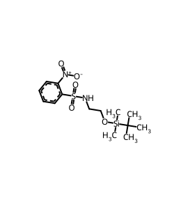 CC(C)(C)[Si](C)(C)OCCNS(=O)(=O)c1ccccc1[N+](=O)[O-]